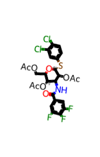 CC(=O)OCC1O[C@H](Sc2ccc(Cl)c(Cl)c2)C(OC(C)=O)C(NC(=O)c2cc(F)c(F)c(F)c2)[C@H]1OC(C)=O